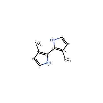 O=[N+]([O-])c1cc[nH]c1-c1[nH]ccc1[N+](=O)[O-]